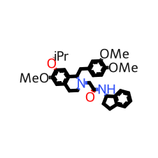 COc1ccc(CC2c3cc(OC(C)C)c(OC)cc3CCN2CC(=O)NC2CCc3ccccc32)cc1OC